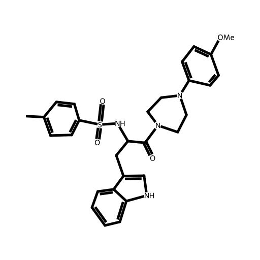 COc1ccc(N2CCN(C(=O)C(Cc3c[nH]c4ccccc34)NS(=O)(=O)c3ccc(C)cc3)CC2)cc1